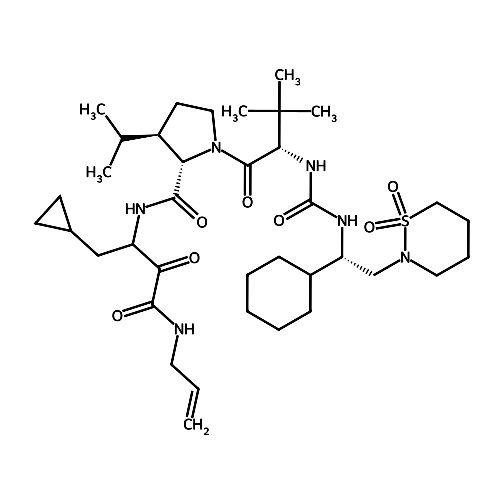 C=CCNC(=O)C(=O)C(CC1CC1)NC(=O)[C@@H]1[C@@H](C(C)C)CCN1C(=O)[C@@H](NC(=O)N[C@H](CN1CCCCS1(=O)=O)C1CCCCC1)C(C)(C)C